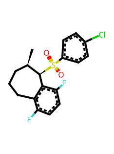 C[C@@H]1CCCc2c(F)ccc(F)c2[C@@H]1S(=O)(=O)c1ccc(Cl)cc1